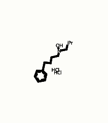 CC(C)CN(O)CCCCc1ccccc1.Cl.Cl